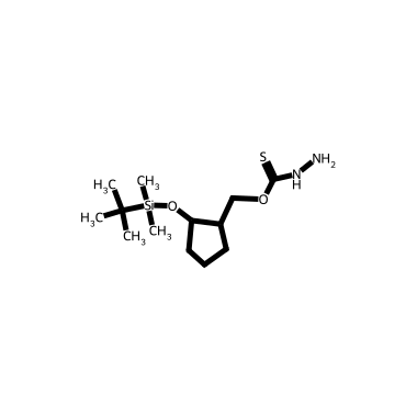 CC(C)(C)[Si](C)(C)OC1CCCC1COC(=S)NN